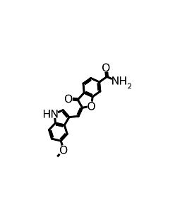 COc1ccc2[nH]cc(C=C3Oc4cc(C(N)=O)ccc4C3=O)c2c1